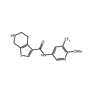 COc1ncc(NC(=O)c2csc3c2CCNC3)cc1C(F)(F)F